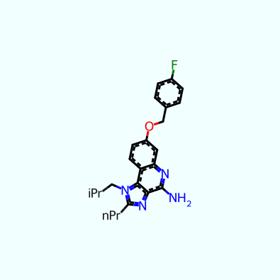 CCCc1nc2c(N)nc3cc(OCc4ccc(F)cc4)ccc3c2n1CC(C)C